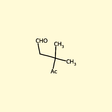 CC(=O)C(C)(C)CC=O